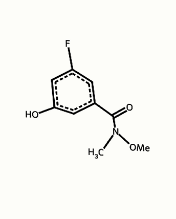 CON(C)C(=O)c1cc(O)cc(F)c1